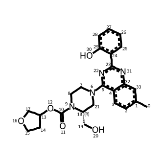 Cc1ccc2c(N3CCN(C(=O)OC4CCOC4)[C@@H](CO)C3)nc(-c3ccccc3O)nc2c1